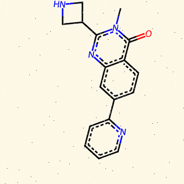 Cn1c(C2CNC2)nc2cc(-c3ccccn3)ccc2c1=O